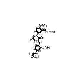 CCCCCOc1cc(N2CC(C)CN(Cc3ccc(CNC(=O)O)cc3OC)C2=O)ccc1OC